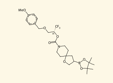 COc1ccc(COC[C@@H](OC(=O)N2CCC3(CC2)CC(B2OC(C)(C)C(C)(C)O2)CO3)C(F)(F)F)cc1